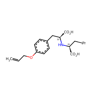 C=CCOc1ccc(C[C@H](N[C@@H](CC(C)C)C(=O)O)C(=O)O)cc1